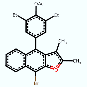 CCc1cc(-c2c3ccccc3c(Br)c3oc(C)c(C)c23)cc(CC)c1OC(C)=O